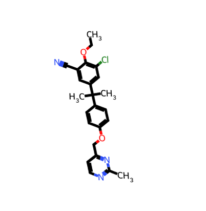 CCOc1c(Cl)cc(C(C)(C)c2ccc(OCc3ccnc(C)n3)cc2)cc1C#N